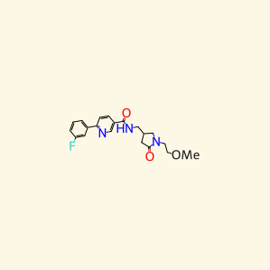 COCCN1CC(CNC(=O)c2ccc(-c3cccc(F)c3)nc2)CC1=O